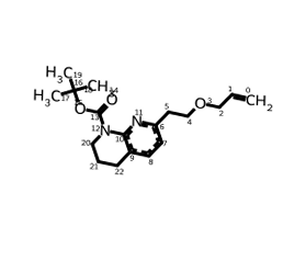 C=CCOCCc1ccc2c(n1)N(C(=O)OC(C)(C)C)CCC2